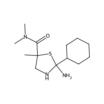 CN(C)C(=O)C1(C)CNC(N)(C2CCCCC2)S1